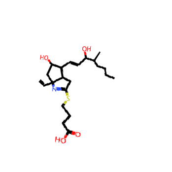 C=CC12CC(O)C(C=CC(O)C(C)CCCC)C1CC(SCCCC(=O)O)=N2